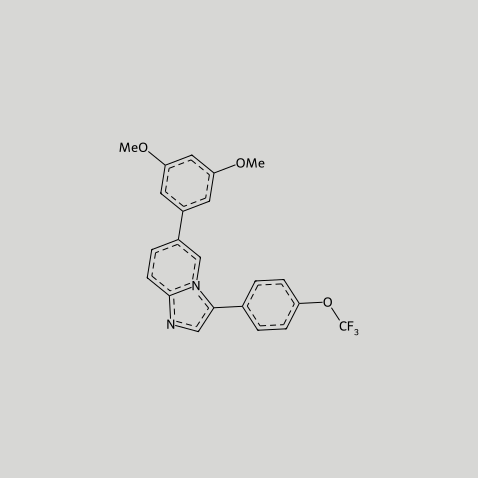 COc1cc(OC)cc(-c2ccc3ncc(-c4ccc(OC(F)(F)F)cc4)n3c2)c1